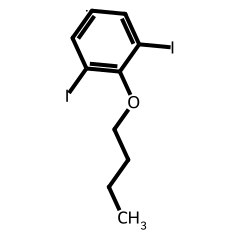 CCCCOc1c(I)c[c]cc1I